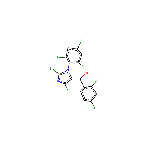 OC(c1ccc(F)cc1F)c1c(Cl)nc(Br)n1-c1c(F)cc(F)cc1Cl